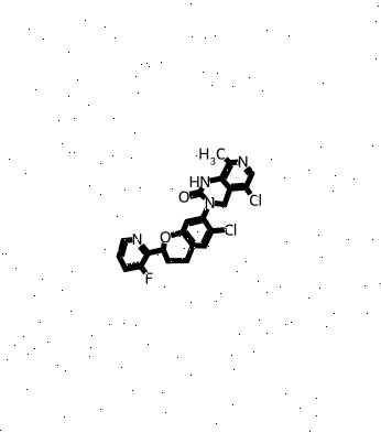 Cc1ncc(Cl)c2c1NC(=O)N(c1cc3c(cc1Cl)CCC(c1ncccc1F)O3)C2